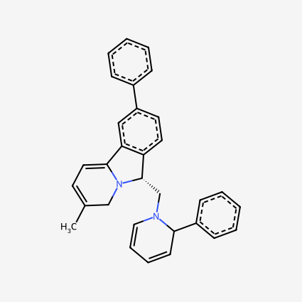 CC1=CC=C2c3cc(-c4ccccc4)ccc3[C@H](CN3C=CC=CC3c3ccccc3)N2C1